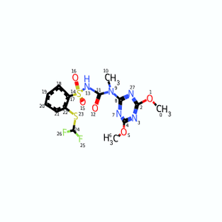 COc1nc(OC)nc(N(C)C(=O)NS(=O)(=O)c2ccccc2SC(F)F)n1